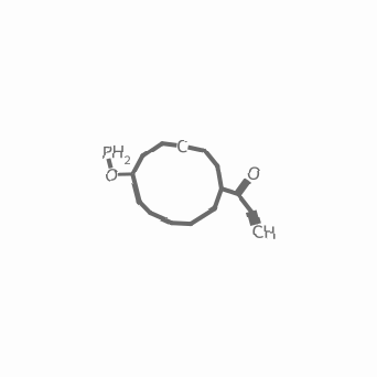 C#CC(=O)C1CCCCCC(OP)CCCCC1